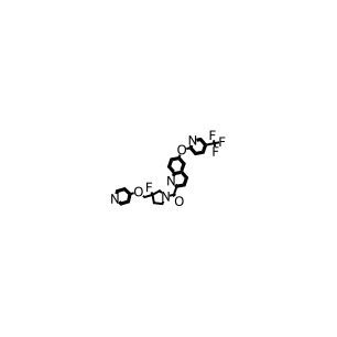 O=C(c1ccc2cc(Oc3ccc(C(F)(F)F)cn3)ccc2n1)N1CCC(F)(COc2ccncc2)C1